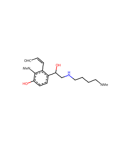 CNCCCCNCC(O)c1ccc(O)c(NC)c1/C=C\C=O